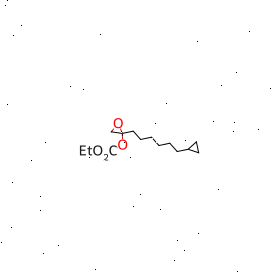 CCOC(=O)OC1(CCCCCCC2CC2)CO1